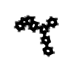 c1ccc(-c2ccc(-c3nc(-c4ccccc4)nc(-c4ccc5c(ccc6oc7ccccc7c65)c4)n3)cc2)cc1